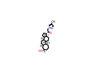 CC[C@]12CCC[C@](C)(O)C[C@H]1CC[C@H]1[C@@H]3CC[C@H](C(=O)Cn4cc(C#N)cn4)[C@@]3(C)CC[C@@H]12